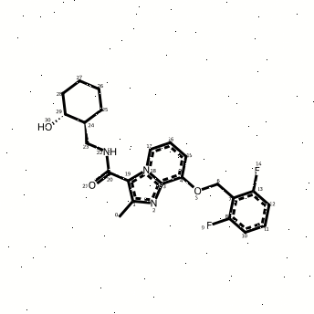 Cc1nc2c(OCc3c(F)cccc3F)cccn2c1C(=O)NC[C@@H]1CCCC[C@H]1O